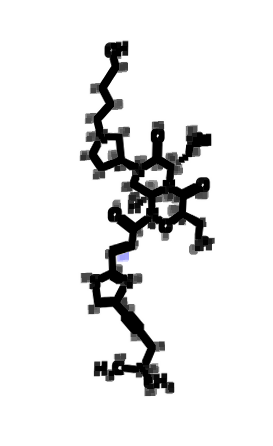 CC(C)C[C@H]1ON(C(=O)/C=C/c2nc(C#CCN(C)C)cs2)[C@H]2CN([C@H]3CCN(CCCCO)C3)C(=O)[C@H](CC(C)(C)C)N2C1=O